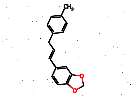 Cc1ccc(CC=Cc2ccc3c(c2)OCO3)cc1